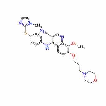 COc1c(OCCCN2CCOCC2)ccc2c(Nc3ccc(Sc4nccn4C)cc3)c(C#N)cnc12